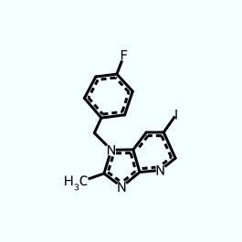 Cc1nc2ncc(I)cc2n1Cc1ccc(F)cc1